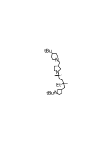 CCC(C)(CCC(C)(C)N1CCC(CN2CCC(C(C)(C)C)CC2)C1)CC1CCN(C(C)(C)C)C1